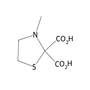 CN1CCSC1(C(=O)O)C(=O)O